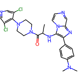 CC(Nc1c(-c2ccc(N(C)C)cc2)nc2cnccn12)C(=O)N1CCN(c2c(Cl)cncc2Cl)CC1